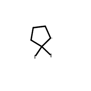 IC1(I)[CH]CCC1